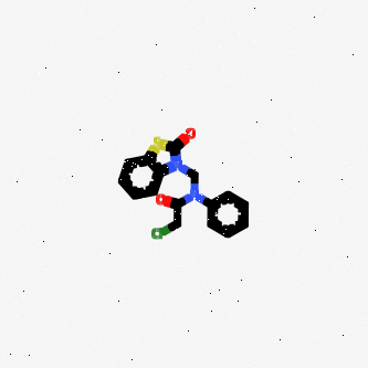 O=C(CCl)N(Cn1c(=O)sc2ccccc21)c1ccccc1